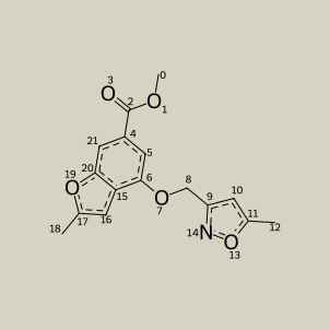 COC(=O)c1cc(OCc2cc(C)on2)c2cc(C)oc2c1